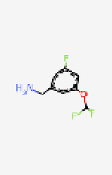 NCc1cc(F)cc(OC(F)F)c1